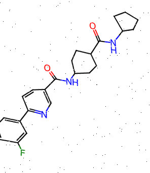 O=C(NC1CCC(C(=O)NC2CCCC2)CC1)c1ccc(-c2cccc(F)c2)nc1